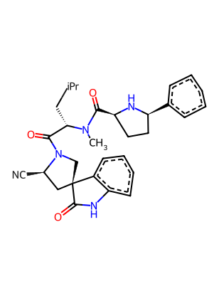 CC(C)C[C@@H](C(=O)N1C[C@]2(C[C@H]1C#N)C(=O)Nc1ccccc12)N(C)C(=O)[C@@H]1CC[C@H](c2ccccc2)N1